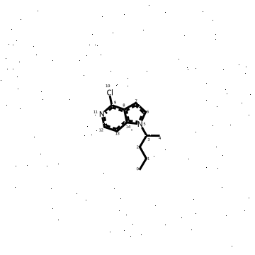 CCCC(C)n1ccc2c(Cl)nccc21